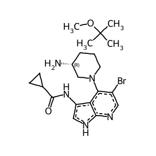 COC(C)(C)C.N[C@@H]1CCCN(c2c(Br)cnc3[nH]cc(NC(=O)C4CC4)c23)C1